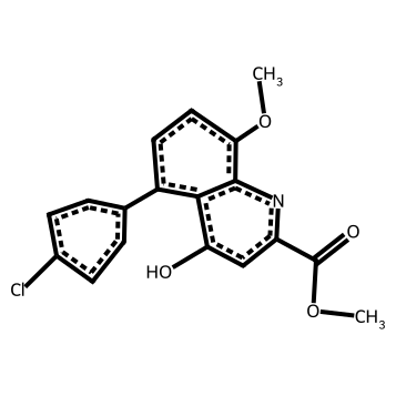 COC(=O)c1cc(O)c2c(-c3ccc(Cl)cc3)ccc(OC)c2n1